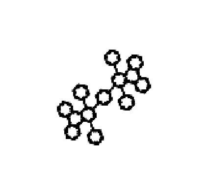 c1ccc(-c2cc(-c3ccc(-c4cc(-c5ccccc5)c5c6ccccc6c6ccccc6c5c4-c4ccccc4)cc3)c(-c3ccccc3)c3c4ccccc4c4ccccc4c23)cc1